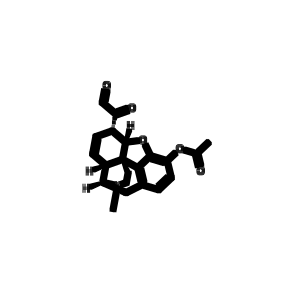 CC(=O)Oc1ccc2c3c1O[C@H]1[C@@H](C(=O)C=O)C=C[C@H]4[C@@H](C2)N(C)CC[C@@]341